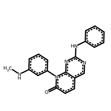 CNc1cccc(-n2c(=O)ccc3cnc(Nc4ccccc4)nc32)c1